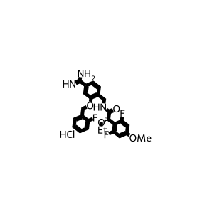 CCO[C@H](C(=O)NCc1ccc(C(=N)N)cc1OCc1ccccc1F)c1c(F)cc(OC)cc1F.Cl